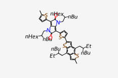 CCCCCCC(CCCC)CN1C(=O)C(c2ccc(-c3cc4c(CC(CC)CCCC)c5sc(C)cc5c(CC(CC)CCCC)c4s3)s2)=C2C1=C(c1ccc(C)s1)C(=O)N2CC(CCCC)CCCCCC